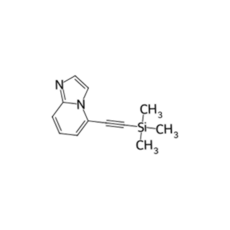 C[Si](C)(C)C#Cc1cccc2nccn12